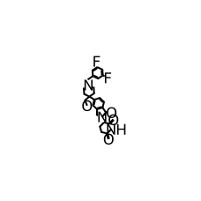 O=C1CCC(N2Cc3c(ccc4c3OCC43CCN(Cc4cc(F)cc(F)c4)CC3)C2=O)C(=O)N1